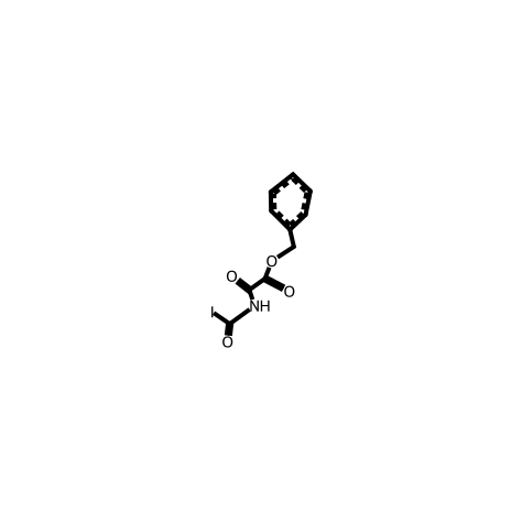 O=C(I)NC(=O)C(=O)OCc1ccccc1